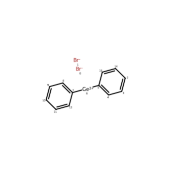 [Br-].[Br-].c1cc[c]([Ge+2][c]2ccccc2)cc1